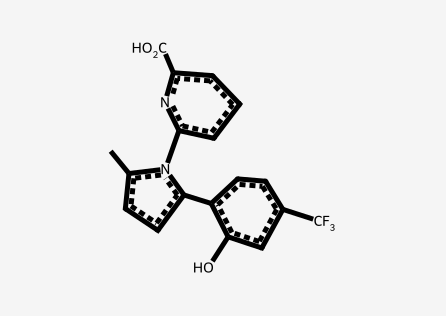 Cc1ccc(-c2ccc(C(F)(F)F)cc2O)n1-c1cccc(C(=O)O)n1